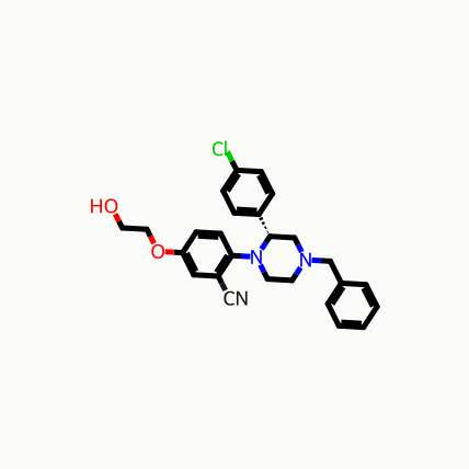 N#Cc1cc(OCCO)ccc1N1CCN(Cc2ccccc2)C[C@H]1c1ccc(Cl)cc1